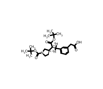 [2H]C([2H])(c1cccc(CC(=O)O)c1)[C@H](C(=O)OC(C)(C)C)[C@H]1CCN(C(=O)OC(C)(C)C)C1